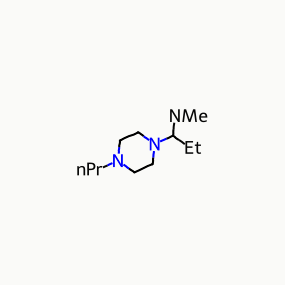 CCCN1CCN(C(CC)NC)CC1